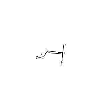 CC(F)=CC=O